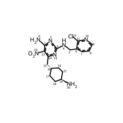 Nc1nc(NCc2cccnc2Cl)nc(C[C@H]2CC[C@H](N)CC2)c1[N+](=O)[O-]